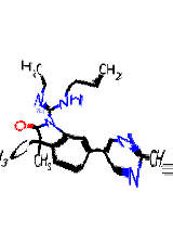 C=CCN/C(=N\C=C)N1C(=O)C(C)(C)c2ccc(-c3cnc(C)nc3)cc21